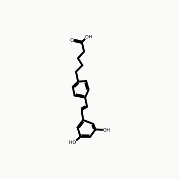 O=C(O)CCCCc1ccc(C=Cc2cc(O)cc(O)c2)cc1